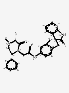 C[C@@H]1C(=O)N(CC(=O)Nc2ccc3c(c2)C[C@@]2(C3)C(=O)Nc3ncccc32)[C@H](c2ccccc2)CN1C